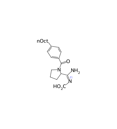 CCCCCCCCc1ccc(C(=O)N2CCCC2/C(N)=N\C(=O)O)cc1